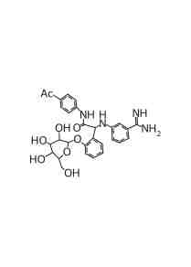 CC(=O)c1ccc(NC(=O)C(Nc2cccc(C(=N)N)c2)c2ccccc2OC2OC(CO)C(O)C(O)C2O)cc1